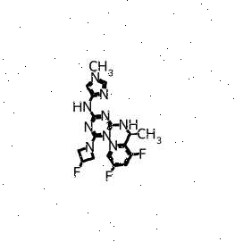 C[C@H](Nc1nc(Nc2cn(C)cn2)nc(N2CC(F)C2)n1)c1ncc(F)cc1F